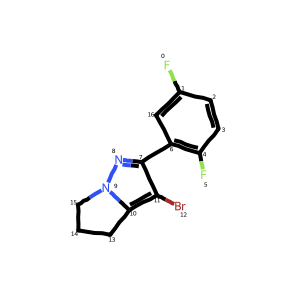 Fc1ccc(F)c(-c2nn3c(c2Br)CCC3)c1